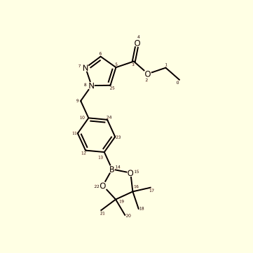 CCOC(=O)c1cnn(Cc2ccc(B3OC(C)(C)C(C)(C)O3)cc2)c1